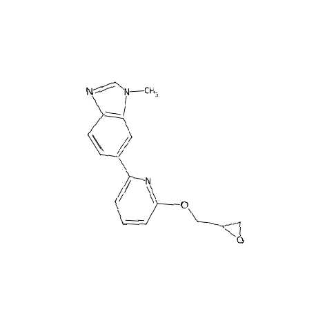 Cn1cnc2ccc(-c3cccc(OCC4CO4)n3)cc21